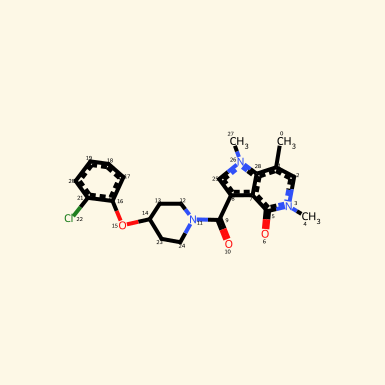 Cc1cn(C)c(=O)c2c(C(=O)N3CCC(Oc4ccccc4Cl)CC3)cn(C)c12